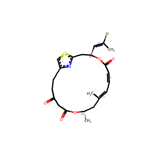 C/C(Br)=C\[C@@H]1Cc2nc(cs2)CCC(=O)CC(=O)O[C@@H](C)C/C(C)=C/C=C\C(=O)O1